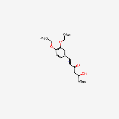 CCCCCCCCCC(O)CC(=O)/C=C/c1ccc(OCOC)c(OCOC)c1